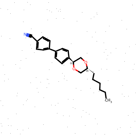 CCCCCC[C@@H]1CO[C@@H](c2ccc(-c3ccc(C#N)cc3)cc2)CO1